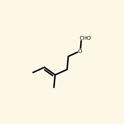 CC=C(C)CCO[C]=O